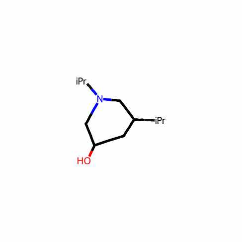 CC(C)C1CC(O)CN(C(C)C)C1